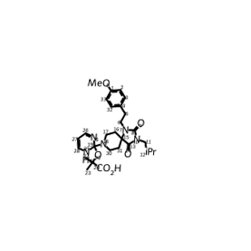 COc1ccc(CCN2C(=O)N(CC(C)C)C(=O)C23CCN(C2(OC(C)(C)C(=O)O)N=CC=CN2)CC3)cc1